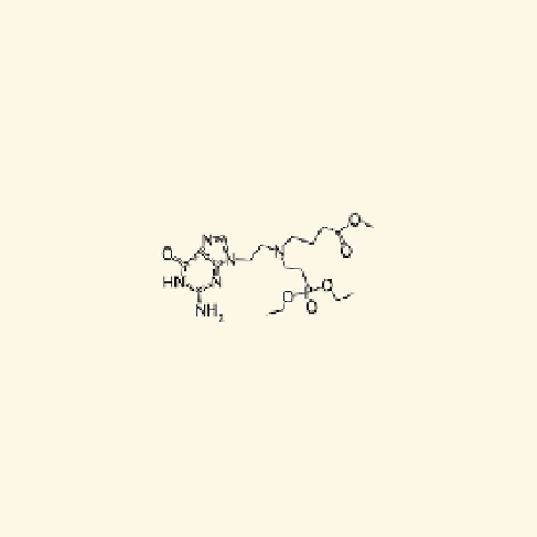 CCOP(=O)(CCN(CCCC(=O)OC)CCn1cnc2c(=O)[nH]c(N)nc21)OCC